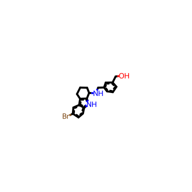 OCc1cccc(CNC2CCCc3c2[nH]c2ccc(Br)cc32)c1